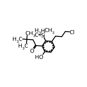 C[SiH](C)c1c(CCCCl)ccc(O)c1C(=O)CC(C)(C)C